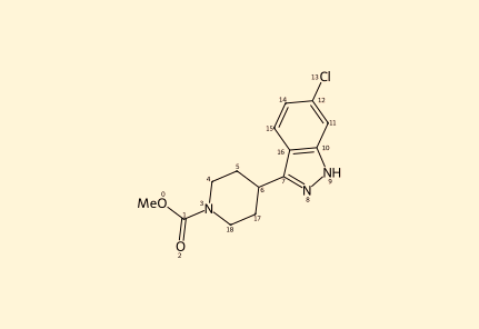 COC(=O)N1CCC(c2n[nH]c3cc(Cl)ccc23)CC1